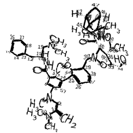 C=C(CN(C)c1cc(C(=O)N[C@@H](Cc2ccccc2)CN(C)C)cc(-c2cccc(CN3O[C@@H](CO)[C@@H]([C@H](C)O)[C@H]3C(=O)N[C@H]3C[C@H]4C[C@@H]([C@@H]3C)C4(C)C)c2OC)c1)N(C)C